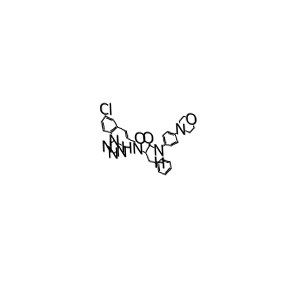 O=C(/C=C/c1cc(Cl)ccc1-n1cnnn1)NC(Cc1ccccc1)C(=O)Nc1ccc(N2CCOCC2)cc1